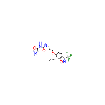 CCCc1c(OCCCN(C)C(=O)NC2=CN(C)CO2)ccc2c(C(F)(F)F)noc12